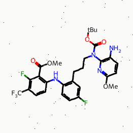 COC(=O)c1c(Nc2ccc(F)cc2CCCN(C(=O)OC(C)(C)C)c2nc(OC)ccc2N)ccc(C(F)(F)F)c1F